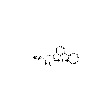 N[C@@H](Cc1c[nH]c2c(C3=CC=CC=CN3)cccc12)C(=O)O